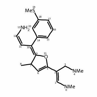 CN/C=C(\CNC)C1=CC(C)/C(=C(\C=C/N)c2cccc(SC)c2)O1